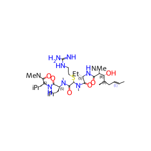 C/C=C/C[C@@H](C)[C@@H](O)C(NC)C(=O)N[C@@H](CC)C(=O)N(C)C(SCCNC(=N)N)C(=O)N(C)[C@@H](CC(C)C)C(=O)N[C@H](C(=O)NC)C(C)C